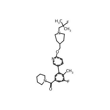 Cc1c(F)cc(C(=O)N2CCCCC2)cc1-c1ccc(OCC2CCN(CC(C)(C)F)CC2)nc1